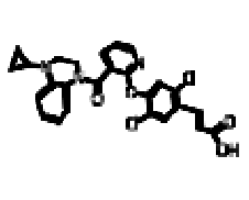 O=C(O)/C=C/c1cc(Cl)c(Oc2ncccc2C(=O)N2CCN(C3CC3)c3ccccc32)cc1Cl